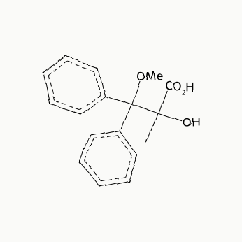 COC(c1ccccc1)(c1ccccc1)C(C)(O)C(=O)O